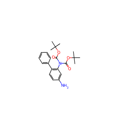 CC(C)(C)OC(=O)N(C(=O)OC(C)(C)C)c1cc(N)ccc1-c1ccccc1